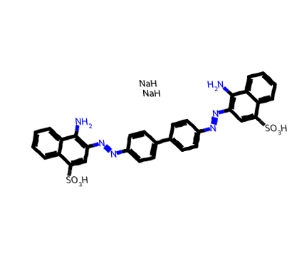 Nc1c(N=Nc2ccc(-c3ccc(N=Nc4cc(S(=O)(=O)O)c5ccccc5c4N)cc3)cc2)cc(S(=O)(=O)O)c2ccccc12.[NaH].[NaH]